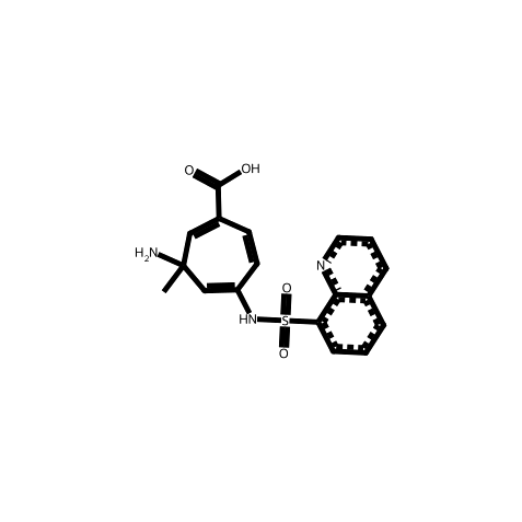 CC1(N)C=C(NS(=O)(=O)c2cccc3cccnc23)C=CC(C(=O)O)=C1